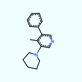 Cc1c(-c2ccccc2)[c]ncc1N1CCCCC1